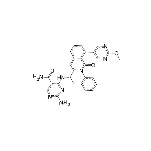 COc1ncc(-c2cccc3cc(C(C)Nc4nc(N)ncc4C(N)=O)n(-c4ccccc4)c(=O)c23)cn1